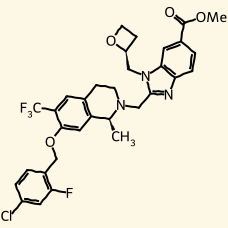 COC(=O)c1ccc2nc(CN3CCc4cc(C(F)(F)F)c(OCc5ccc(Cl)cc5F)cc4[C@@H]3C)n(C[C@@H]3CCO3)c2c1